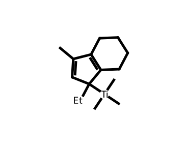 CC[C]1([Ti]([CH3])([CH3])[CH3])C=C(C)C2=C1CCCC2